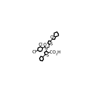 O=C(O)c1sc(-c2ccccc2)cc1N(Cc1ccc(-c2cc3ccccc3o2)s1)C(=O)c1ccc(Cl)cc1Cl